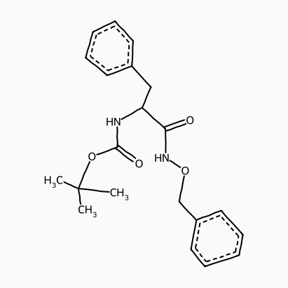 CC(C)(C)OC(=O)NC(Cc1ccccc1)C(=O)NOCc1ccccc1